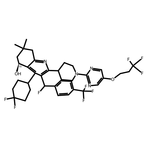 CC1(C)Cc2nc(C3CCN(c4ncc(OCCC(F)(F)F)cn4)CC3)c(C(F)c3ccc(C(F)(F)F)cc3)c(C3CCC(F)(F)CC3)c2[C@@H](O)C1